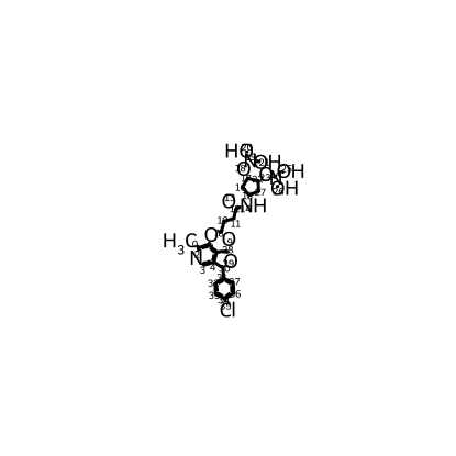 Cc1ncc2c(c1OC(=O)CCC(=O)N[C@@H]1C[C@H](ON(O)O)[C@H](ON(O)O)C1)COC2c1ccc(Cl)cc1